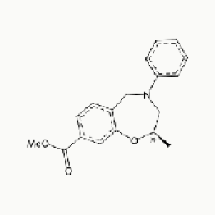 COC(=O)c1ccc2c(c1)O[C@H](C)CN(c1ccccc1)C2